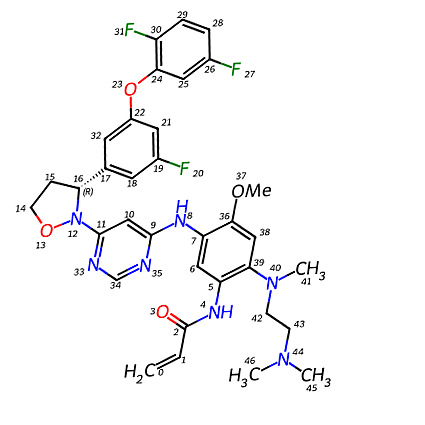 C=CC(=O)Nc1cc(Nc2cc(N3OCC[C@@H]3c3cc(F)cc(Oc4cc(F)ccc4F)c3)ncn2)c(OC)cc1N(C)CCN(C)C